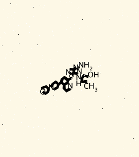 CCCC(CCO)Nc1nc(N)nc2cnn(Cc3ccc(C4CCN(C5CCOCC5)CC4)c4cccnc34)c12